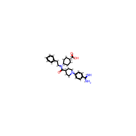 N=C(N)c1ccc(N2CCC(C(=O)N(CCc3ccccc3)[C@H]3CC[C@H](C(=O)O)CC3)CC2)cc1